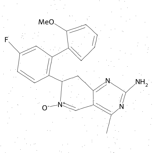 COc1ccccc1-c1cc(F)ccc1C1Cc2nc(N)nc(C)c2C=[N+]1[O-]